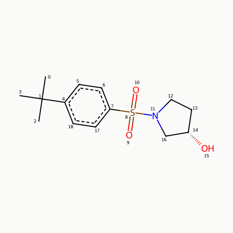 CC(C)(C)c1ccc(S(=O)(=O)N2CC[C@H](O)C2)cc1